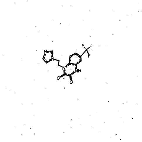 O=c1[nH]c2cc(C(F)(F)F)ccc2n(CCn2ccnc2)c1=O